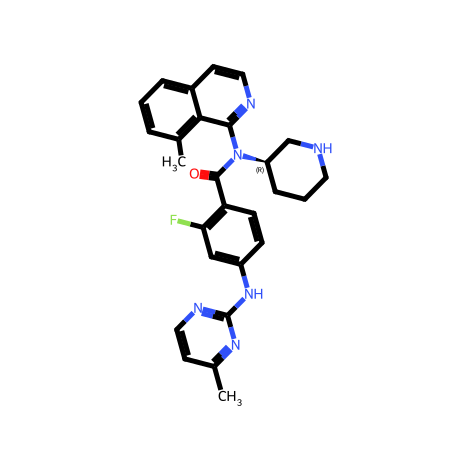 Cc1ccnc(Nc2ccc(C(=O)N(c3nccc4cccc(C)c34)[C@@H]3CCCNC3)c(F)c2)n1